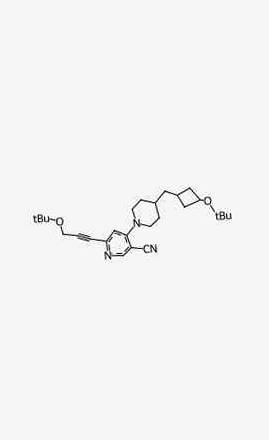 CC(C)(C)OCC#Cc1cc(N2CCC(CC3CC(OC(C)(C)C)C3)CC2)c(C#N)cn1